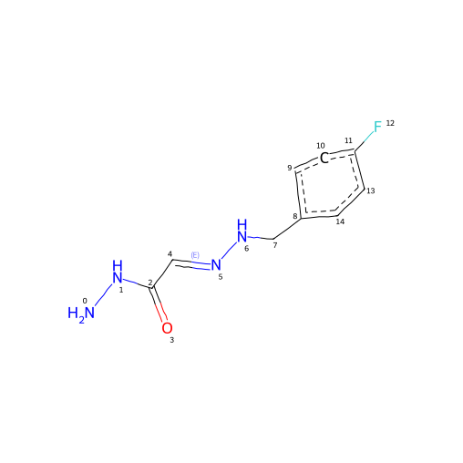 NNC(=O)/C=N/NCc1ccc(F)cc1